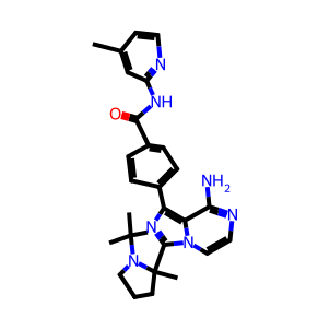 Cc1ccnc(NC(=O)c2ccc(-c3nc(C4(C)CCCN4C(C)(C)C)n4ccnc(N)c34)cc2)c1